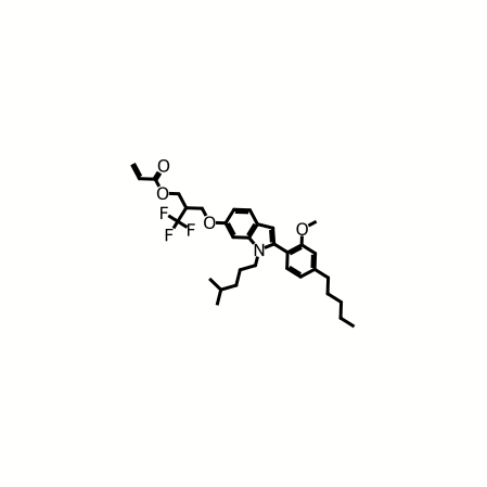 C=CC(=O)OCC(COc1ccc2cc(-c3ccc(CCCCC)cc3OC)n(CCCC(C)C)c2c1)C(F)(F)F